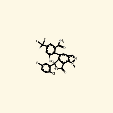 Cn1ncc2cc(-c3c(F)cc(C(F)(F)F)cc3C(N)=O)c3c(c21)C(=O)NC3(O)c1cc(F)ccc1Cl